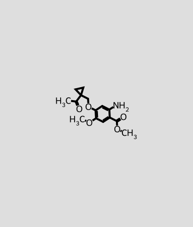 COC(=O)c1cc(OC)c(OCC2(C(C)=O)CC2)cc1N